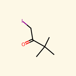 CC(C)(C)C(=O)CI